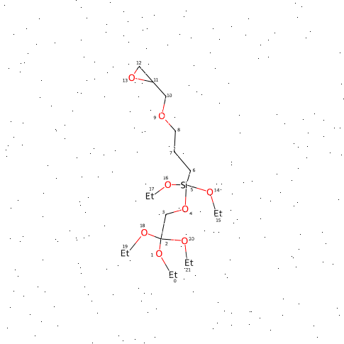 CCOC(CO[Si](CCCOCC1CO1)(OCC)OCC)(OCC)OCC